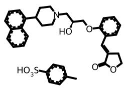 Cc1ccc(S(=O)(=O)O)cc1.O=C1OCCC1=Cc1ccccc1OC[C@@H](O)CN1CCC(c2cccc3ccccc23)CC1